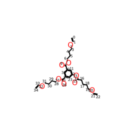 C=COCCCCOC(=O)c1cc(OC(=O)CCCCOC=C)cc(C(=O)OCCCCOC=C)c1